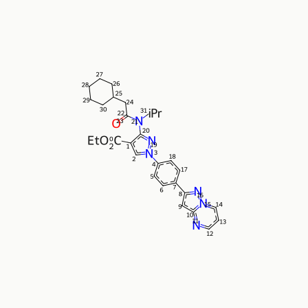 CCOC(=O)c1cn(-c2ccc(-c3cc4ncccn4n3)cc2)nc1N(C(=O)CC1CCCCC1)C(C)C